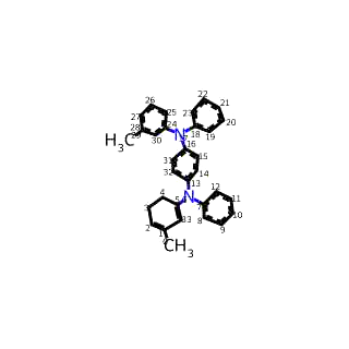 CC1=CCCC(N(c2ccccc2)c2ccc(N(c3ccccc3)c3cccc(C)c3)cc2)=C1